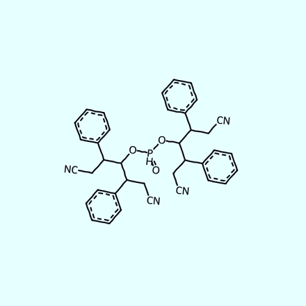 N#CCC(c1ccccc1)C(O[PH](=O)OC(C(CC#N)c1ccccc1)C(CC#N)c1ccccc1)C(CC#N)c1ccccc1